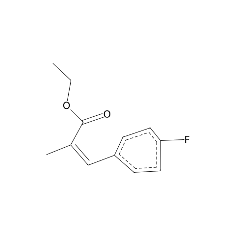 CCOC(=O)C(C)=Cc1ccc(F)cc1